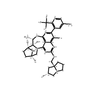 C[C@@H]1Oc2nc(-c3cc(N)cnc3C(F)(F)F)c(F)c3nc(OC[C@@]45CCCN4C[C@H](F)C5)nc(c23)N2C[C@H]3CC[C@H](N3)[C@@H]12